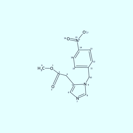 COC(=O)Cc1cncn1Cc1ccc([N+](=O)[O-])cc1